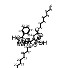 CCCCCCCCOC(=O)CC(C(=O)OCCCCCCCC)S(=O)(=O)O.O=C(O)c1ccccc1.[NaH].[NaH]